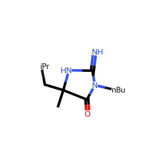 CCCCN1C(=N)NC(C)(CC(C)C)C1=O